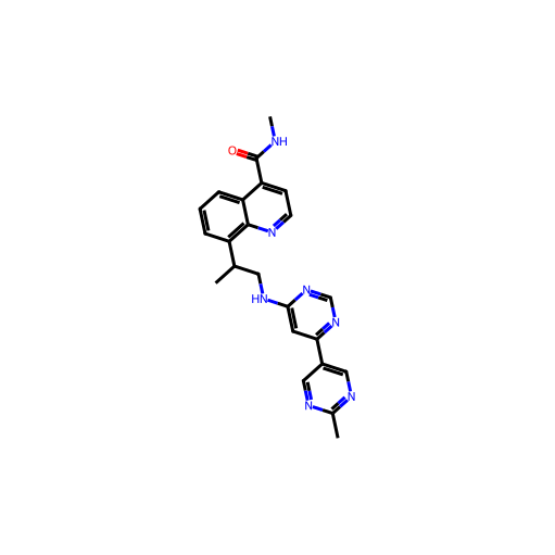 CNC(=O)c1ccnc2c(C(C)CNc3cc(-c4cnc(C)nc4)ncn3)cccc12